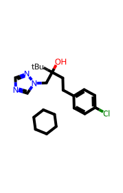 C1CCCCC1.CC(C)(C)C(O)(CCc1ccc(Cl)cc1)Cn1cncn1